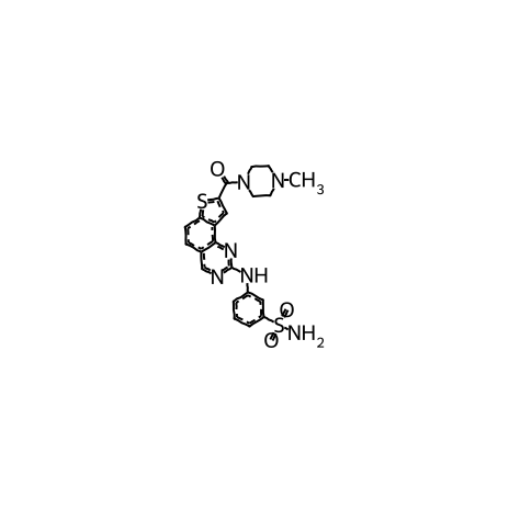 CN1CCN(C(=O)c2cc3c(ccc4cnc(Nc5cccc(S(N)(=O)=O)c5)nc43)s2)CC1